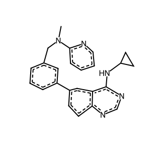 CN(Cc1cccc(-c2ccc3ncnc(NC4CC4)c3c2)c1)c1ccccn1